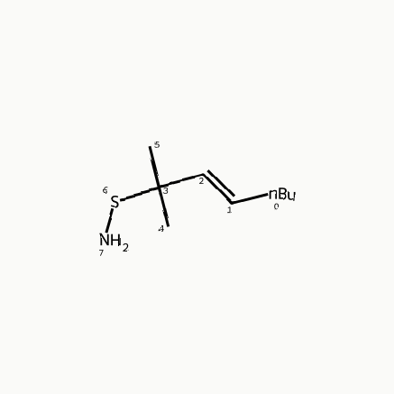 CCCCC=CC(C)(C)SN